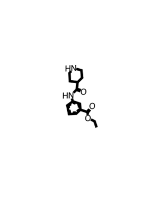 CCOC(=O)c1cccc(NC(=O)C2CCNCC2)c1